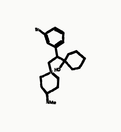 CNC1CCN(CC(c2cccc(Br)c2)C2(O)CCCCC2)CC1